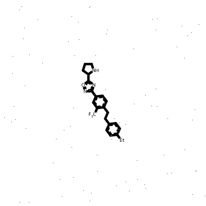 CCc1ccc(CCc2ccc(-c3noc(C4CCCN4)n3)cc2C(F)(F)F)cc1